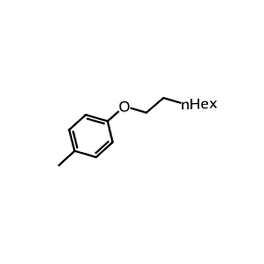 [CH2]CCCCCCCOc1ccc(C)cc1